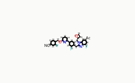 CC(=O)c1cc(F)c2nc(Cc3ccc(-c4cccc(OCc5ccc(C#N)cc5F)n4)cc3F)n(C[C@@H]3CCO3)c2c1